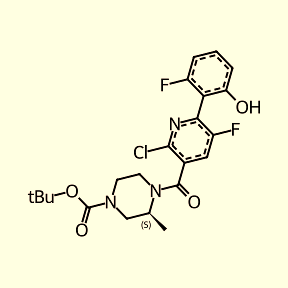 C[C@H]1CN(C(=O)OC(C)(C)C)CCN1C(=O)c1cc(F)c(-c2c(O)cccc2F)nc1Cl